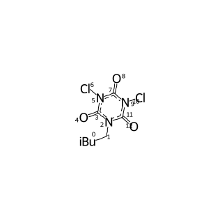 CCC(C)Cn1c(=O)n(Cl)c(=O)n(Cl)c1=O